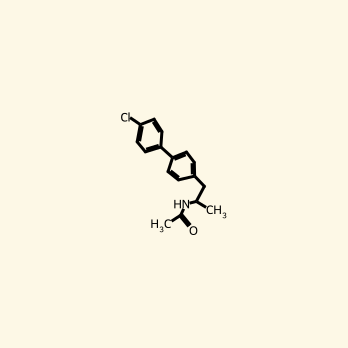 CC(=O)NC(C)Cc1ccc(-c2ccc(Cl)cc2)cc1